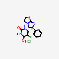 Cl.O=c1[nH]cc(F)c(=O)[nH]1.c1ccc([C@H]2CN3CCSC3=N2)cc1